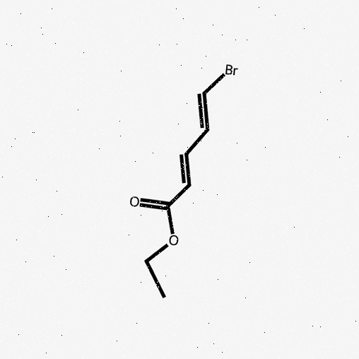 CCOC(=O)C=CC=CBr